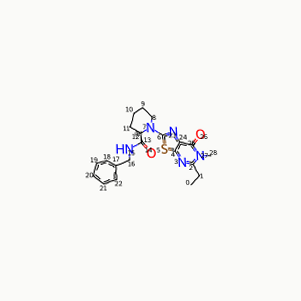 CCc1nc2sc(N3CCCC[C@@H]3C(=O)NCc3ccccc3)nc2c(=O)n1C